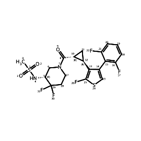 CS(=O)(=O)N[C@@H]1CN(C(=O)[C@@H]2C[C@H]2c2c(-c3c(F)cccc3F)csc2F)CCC1(F)F